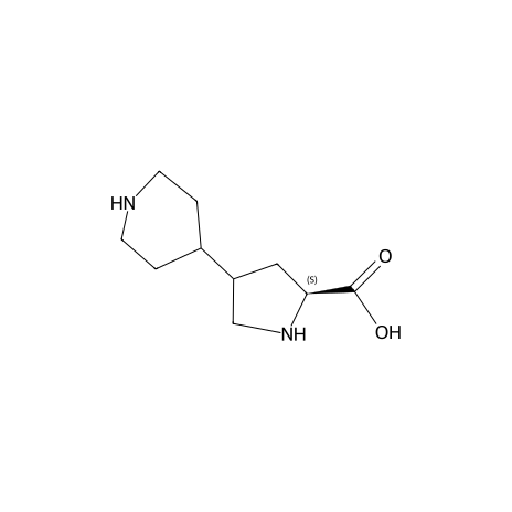 O=C(O)[C@@H]1CC(C2CCNCC2)CN1